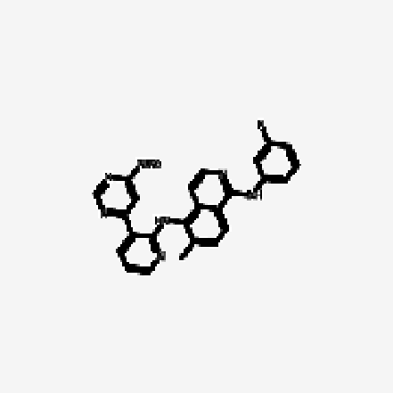 CNc1cc(-c2cccnc2Nc2c(C)ccc3c(Nc4cccc(F)c4)nccc23)ncn1